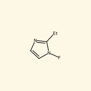 CCc1nccn1F